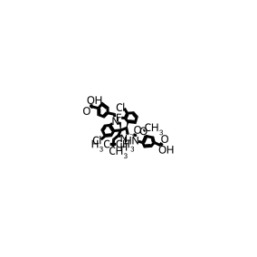 COc1cc(C(=O)O)ccc1NC(=O)[C@@H]1NC(CC(C)(C)C)[C@@]2(CN(Cc3ccc(C(=O)O)cc3)c3ccc(Cl)cc32)[C@H]1c1cccc(Cl)c1F